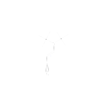 CC(C)(C)N(/C=C/C#N)C(C)(C)C